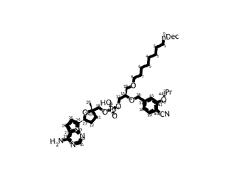 CCCCCCCCCCCCCCCCCCOC[C@H](COP(=O)(O)OC[C@]1(C)CC[C@H](c2ccc3c(N)ncnn23)O1)OCc1ccc(C#N)c(OC(C)C)c1